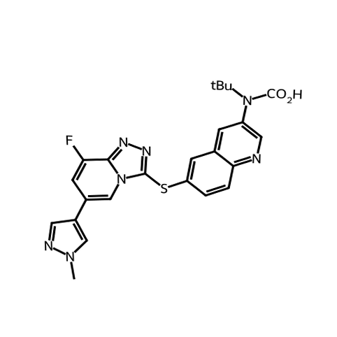 Cn1cc(-c2cc(F)c3nnc(Sc4ccc5ncc(N(C(=O)O)C(C)(C)C)cc5c4)n3c2)cn1